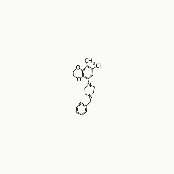 Cc1c(Cl)cc(N2CCN(Cc3ccccc3)CC2)c2c1OCCO2